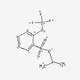 CC(C)OS(=O)(=O)c1ccccc1OC(F)(F)F